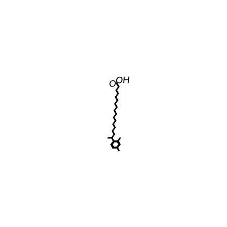 Cc1ccc(C(C)CCCCCCCCCCCCCCCC(=O)O)c(C)c1